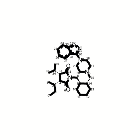 CCC(C)[C@H]1C(=O)N(C[C@@H]2CCCC[C@H]2CN2CCN(c3nsc4ccccc34)CC2)C(=O)[C@H]1C(C)C